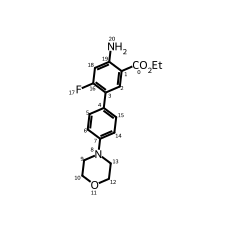 CCOC(=O)c1cc(-c2ccc(N3CCOCC3)cc2)c(F)cc1N